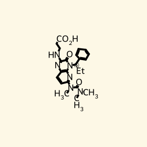 CC[C@@H](c1ccccc1)n1c(=O)c(NCCC(=O)O)nc2ccc(N(C)C(=O)N(C)C)nc21